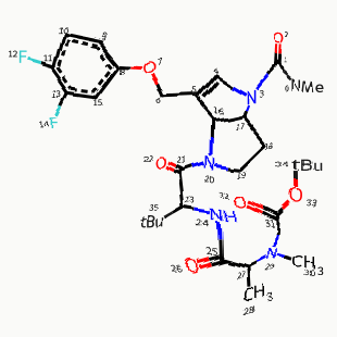 CNC(=O)N1C=C(COc2ccc(F)c(F)c2)C2C1CCN2C(=O)C(NC(=O)C(C)N(C)C(=O)OC(C)(C)C)C(C)(C)C